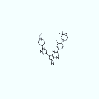 CCN1CCC(n2cc(-c3c[nH]c4ncc(-c5ccc(N6CCOC(C)(C)C6)c(C)c5)nc34)cn2)CC1